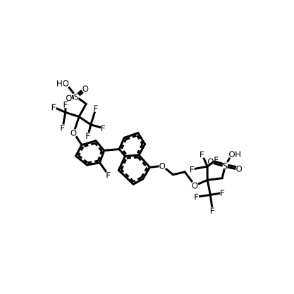 O=S(=O)(O)CC(OCCOc1cccc2c(-c3cc(OC(CS(=O)(=O)O)(C(F)(F)F)C(F)(F)F)ccc3F)cccc12)(C(F)(F)F)C(F)(F)F